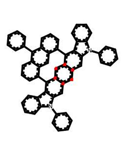 c1ccc(-c2c3cccc(-c4c5ccccc5cc5c4c4ccccc4n5-c4ccccc4)c3cc3c(-c4c5ccccc5cc5c4c4ccccc4n5-c4ccccc4)cccc23)cc1